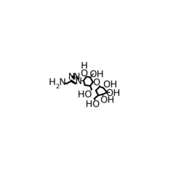 NCc1cn([C@@H]2CC(CO)[C@@H](O[C@@H]3CC(CO)[C@@H](O)[C@H](O)C3O)[C@H](O)C2O)nn1